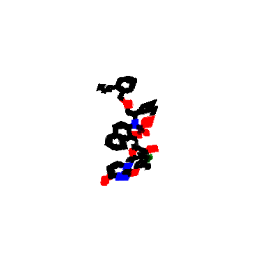 Cc1ccccc1COCC(C)N(c1ccc2ccccc2c1C[C@H]1O[C@@H](n2ccc(=O)[nH]c2=O)[C@](C)(F)[C@@H]1O)P(=O)(O)O